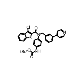 CC(C)(C)OC(=O)Nc1ccc(N(Cc2cccc(-c3ccncc3)c2)C(=O)c2sc3ccccc3c2Cl)cc1